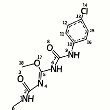 CNC(=O)N=C(NC(=O)Nc1ccc(Cl)cc1)OC